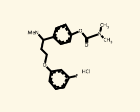 CNC(CCOc1cccc(F)c1)c1ccc(OC(=O)N(C)C)cc1.Cl